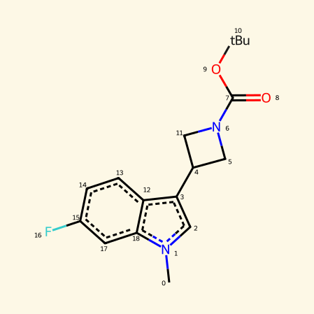 Cn1cc(C2CN(C(=O)OC(C)(C)C)C2)c2ccc(F)cc21